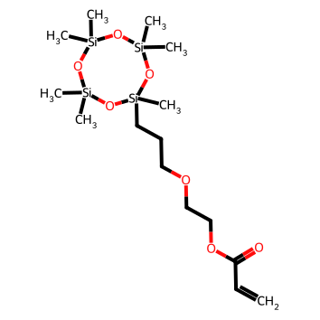 C=CC(=O)OCCOCCC[Si]1(C)O[Si](C)(C)O[Si](C)(C)O[Si](C)(C)O1